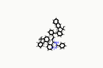 CC1(C)c2cc3ccccc3cc2-c2c(-c3ccccc3/C=C/C(NC(N)c3ccccc3)c3ccccc3-c3cccc4c3-c3ccccc3C4(C)C)cccc21